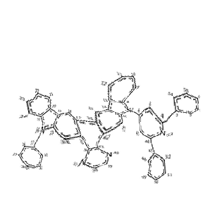 c1ccc(-c2cc(-n3c4ccccc4c4cc5c6cc7c8ccccc8n(-c8ccccc8)c7cc6c6nccnc6c5cc43)cc(-c3ccccc3)n2)cc1